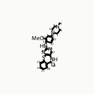 COc1cc(N2CCN(C)CC2)ccc1Nc1ncc2c(n1)Sc1ccccc1C(=O)N2